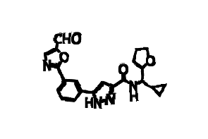 O=Cc1cnc(-c2cccc(-c3cc(C(=O)NC(C4CC4)C4CCCO4)n[nH]3)c2)o1